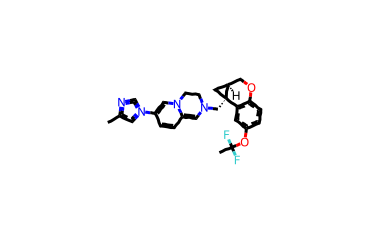 Cc1cn(C2=CN3CCN(C[C@]45C[C@H]4COc4ccc(OC(C)(F)F)cc45)C=C3C=C2)cn1